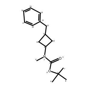 CN(C(=O)OC(C)(C)C)C1CC(Cc2ccccc2)C1